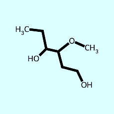 CCC(O)C(CCO)OC